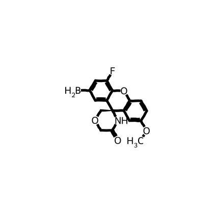 Bc1cc(F)c2c(c1)[C@]1(COCC(=O)N1)c1cc(OC)ccc1O2